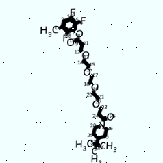 Cc1cc(F)c(F)c(OC(=O)CCOCCOCCOCCOCCC(=O)N2CCC(C(C)(C)C)CC2)c1F